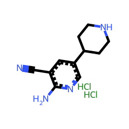 Cl.Cl.N#Cc1cc(C2CCNCC2)cnc1N